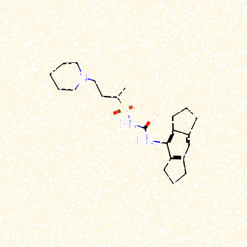 CC(CCN1CCCCC1)S(=O)(=O)NC(=O)Nc1c2c(cc3c1CCC3)CCC2